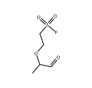 CC(C=O)OCCS(=O)(=O)F